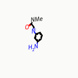 CNC(=O)/C=N/c1cccc(N)c1